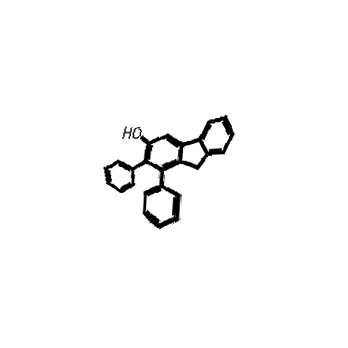 Oc1cc2c(c(-c3ccccc3)c1-c1ccccc1)Cc1ccccc1-2